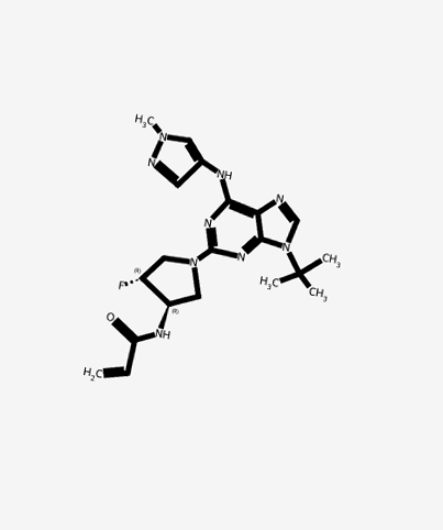 C=CC(=O)N[C@@H]1CN(c2nc(Nc3cnn(C)c3)c3ncn(C(C)(C)C)c3n2)C[C@H]1F